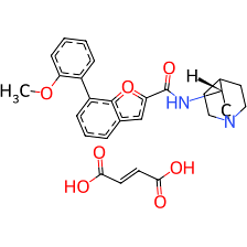 COc1ccccc1-c1cccc2cc(C(=O)N[C@H]3CN4CCC3CC4)oc12.O=C(O)C=CC(=O)O